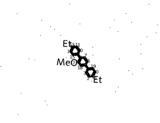 CCc1ccc(-c2ccc(-c3ccc(CC)cc3)c(OC)c2)cc1